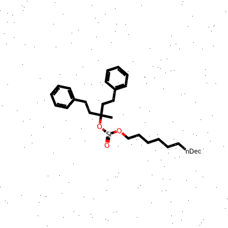 CCCCCCCCCCCCCCCCO[Si](=O)OC(C)(CCc1ccccc1)CCc1ccccc1